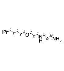 CC(C)CCCCCOCCCNCCCN